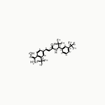 N/C(=N/O)c1ccc(/C=C/C(=O)NC(c2cccc(C(F)(F)F)c2)C(F)(F)F)cc1C(F)(F)F